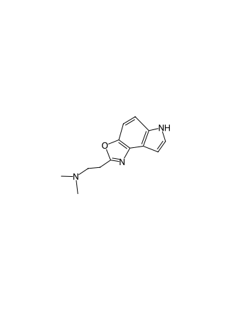 CN(C)CCc1nc2c(ccc3[nH]ccc32)o1